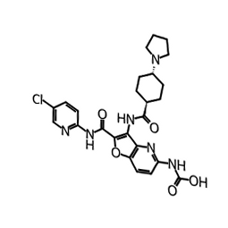 O=C(O)Nc1ccc2oc(C(=O)Nc3ccc(Cl)cn3)c(NC(=O)[C@H]3CC[C@H](N4CCCC4)CC3)c2n1